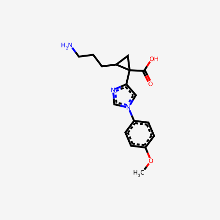 COc1ccc(-n2cnc(C3(C(=O)O)CC3CCCN)c2)cc1